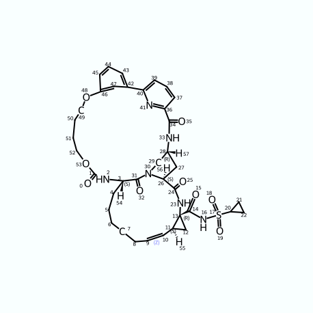 O=C1N[C@H]2CCCCC/C=C\[C@@H]3C[C@@]3(C(=O)NS(=O)(=O)C3CC3)NC(=O)[C@@H]3C[C@H](CN3C2=O)NC(=O)c2cccc(n2)-c2cccc(c2)OCCCCO1